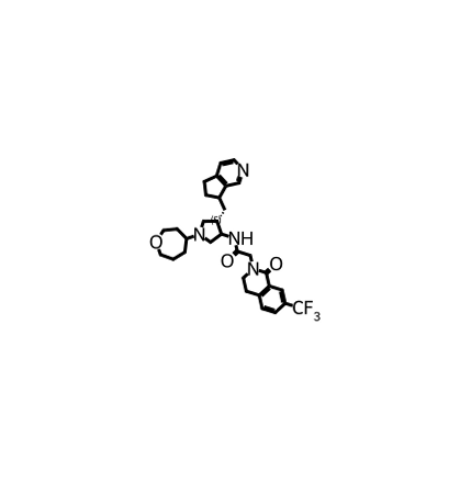 O=C(CN1CCc2ccc(C(F)(F)F)cc2C1=O)NC1CN(C2CCCOCC2)C[C@@H]1CC1CCc2ccncc21